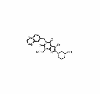 CCn1c(N2CCCC(N)C2)nc2c1c(=O)n(Cc1ccc3nccnc3c1)c(=O)n2CC#N